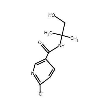 CC(C)(CO)NC(=O)c1ccc(Cl)nc1